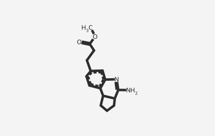 COC(=O)CCc1ccc2c(c1)N=C(N)C1CCCC21